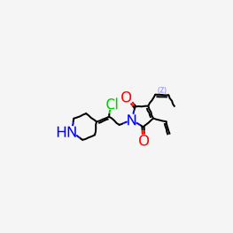 C=CC1=C(/C=C\C)C(=O)N(CC(Cl)=C2CCNCC2)C1=O